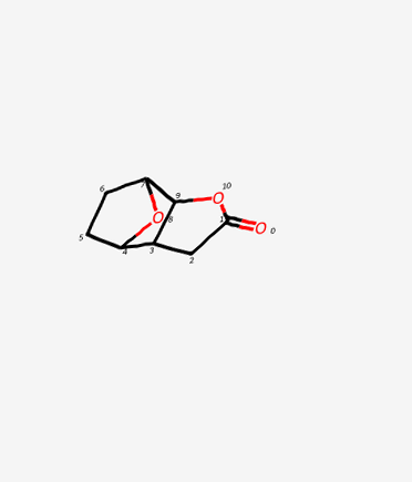 O=C1CC2C3CCC(O3)C2O1